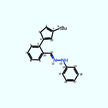 CC(C)(C)C1=CCC(c2ccccc2C=NNc2ccccc2)=C1